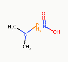 CN(C)P.O=NO